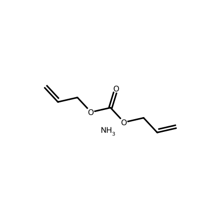 C=CCOC(=O)OCC=C.N